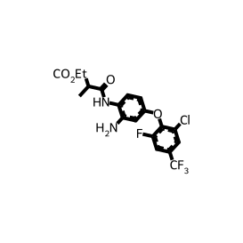 CCOC(=O)C(C)C(=O)Nc1ccc(Oc2c(F)cc(C(F)(F)F)cc2Cl)cc1N